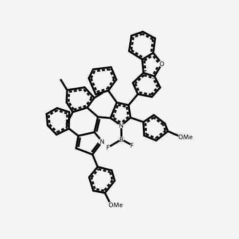 COc1ccc(C2=N/C(=C(/c3c(C)cc(C)cc3C)c3c(-c4ccccc4)c(-c4ccc5oc6ccccc6c5c4)c(-c4ccc(OC)cc4)n3B(F)F)C(c3ccccc3)=C2)cc1